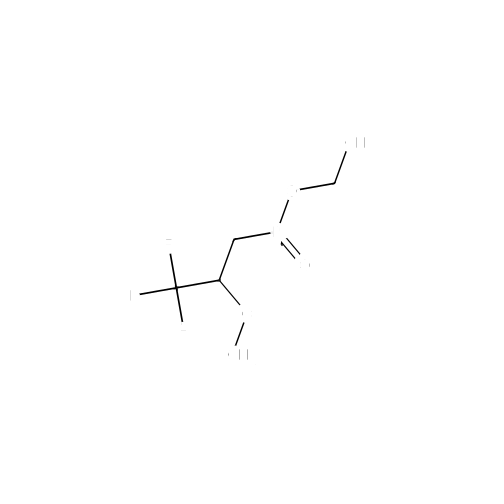 CCO[PH](=O)CC(OC)C(F)(F)F